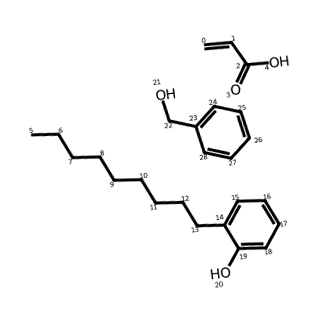 C=CC(=O)O.CCCCCCCCCc1ccccc1O.OCc1ccccc1